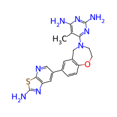 Cc1c(N)nc(N)nc1N1CCOc2ccc(-c3cnc4sc(N)nc4c3)cc2C1